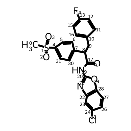 CS(=O)(=O)c1ccc(C(Cc2ccc(F)cc2)C(=O)Nc2nc3cc(Cl)ccc3o2)cc1